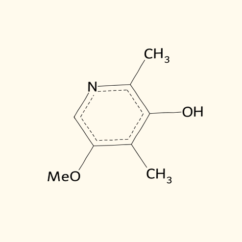 COc1cnc(C)c(O)c1C